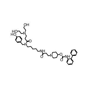 O=C(CCN1CCC(OC(=O)Nc2ccccc2-c2ccccc2)CC1)NCCCCCN(Cc1ccc(O)cc1)C(=O)CCN(CCO)CCO